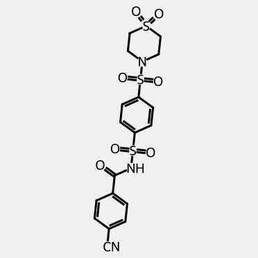 N#Cc1ccc(C(=O)NS(=O)(=O)c2ccc(S(=O)(=O)N3CCS(=O)(=O)CC3)cc2)cc1